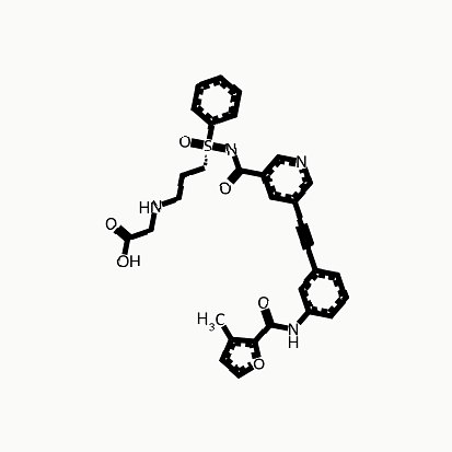 Cc1ccoc1C(=O)Nc1cccc(C#Cc2cncc(C(=O)N=[S@](=O)(CCCNCC(=O)O)c3ccccc3)c2)c1